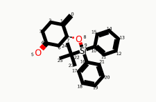 C=C1CCC(=O)C[C@H]1O[Si](c1ccccc1)(c1ccccc1)C(C)(C)C